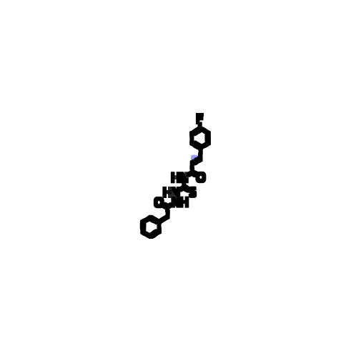 O=C(/C=C/c1ccc(F)cc1)NC(=S)NNC(=O)Cc1ccccc1